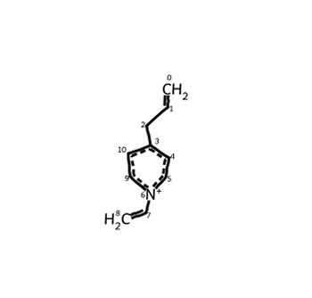 C=CCc1cc[n+](C=C)cc1